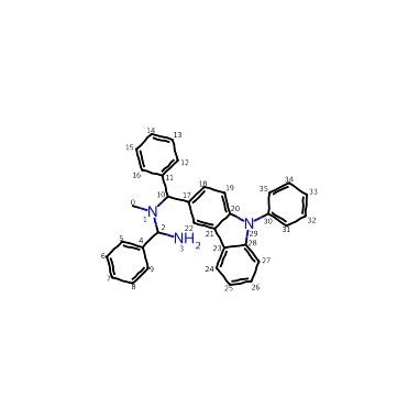 CN(C(N)c1ccccc1)C(c1ccccc1)c1ccc2c(c1)c1ccccc1n2-c1ccccc1